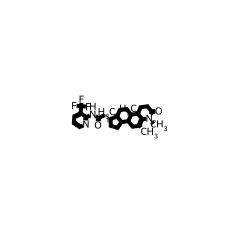 CC1=C2N(C)C(=O)CC[C@]2(C)C2CC[C@@]3(C)C(CC[C@@H]3CC(=O)Nc3ncccc3C(F)(F)F)C2C1